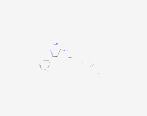 CC(C)(C)OC(=O)NCCCCNc1cc(-c2cccc(Cl)c2Cl)nc(N)n1